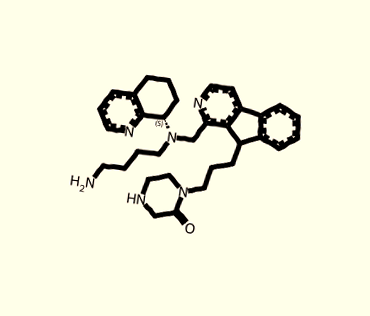 NCCCCN(Cc1nccc2c1C(CCCN1CCNCC1=O)c1ccccc1-2)[C@H]1CCCc2cccnc21